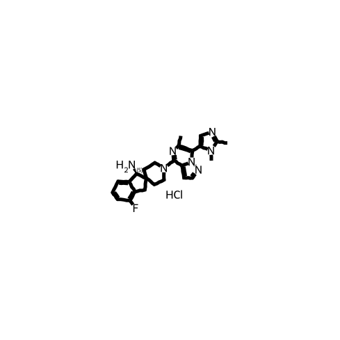 Cc1nc(N2CCC3(CC2)Cc2c(F)cccc2[C@H]3N)c2ccnn2c1-c1cnc(C)n1C.Cl